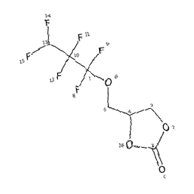 O=C1OCC(COC(F)(F)C(F)(F)C(F)F)O1